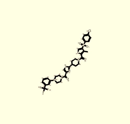 Cc1c(S(=O)(=O)c2ccc(Cl)cc2)csc1C(=O)N1CCC(c2nc(C(=O)N3CCN(c4cccc(C(F)(F)F)c4)CC3)cs2)CC1